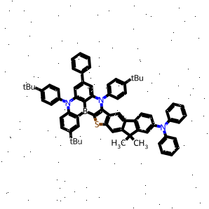 CC(C)(C)c1ccc(N2c3ccc(C(C)(C)C)cc3B3c4sc5cc6c(cc5c4N(c4ccc(C(C)(C)C)cc4)c4cc(-c5ccccc5)cc2c43)-c2ccc(N(c3ccccc3)c3ccccc3)cc2C6(C)C)cc1